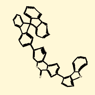 O=c1oc2cc(-c3ccc4c(c3)C3(c5ccccc5-c5ccccc53)c3ccccc3-4)ccc2c2ccc(-c3cccc4oc5ccccc5c34)cc12